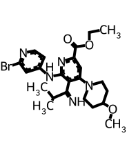 CCOC(=O)c1cc(N2CCC(OC)CC2)c(C(=N)C(C)C)c(Nc2ccnc(Br)c2)n1